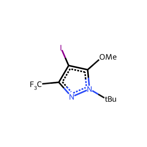 COc1c(I)c(C(F)(F)F)nn1C(C)(C)C